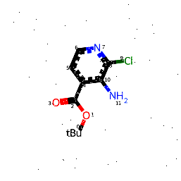 CC(C)(C)OC(=O)c1ccnc(Cl)c1N